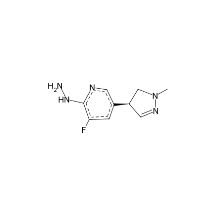 CN1C[C@H](c2cnc(NN)c(F)c2)C=N1